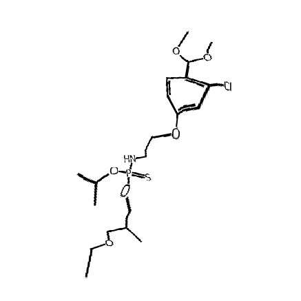 CCOCC(C)COP(=S)(NCCOc1ccc(C(OC)OC)c(Cl)c1)OC(C)C